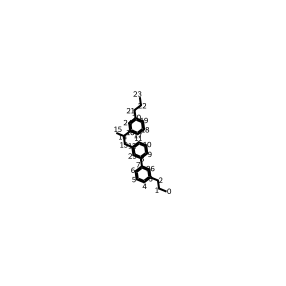 CCCc1cccc(-c2cccc(CC(C)c3cccc(CCC)c3)c2)c1